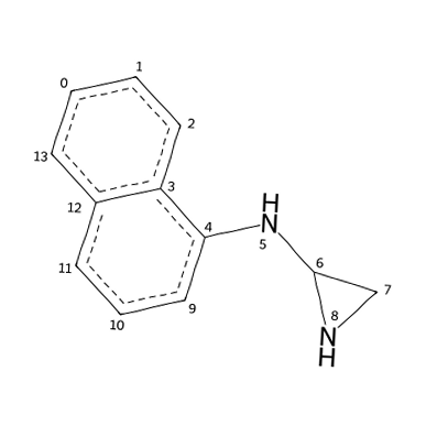 c1ccc2c(NC3CN3)cccc2c1